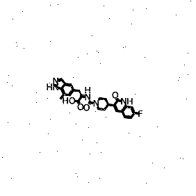 Cc1cc(C[C@@H](NC(=O)N2CCC(c3cc4ccc(F)cc4[nH]c3=O)CC2)C(=O)O)cc2cn[nH]c12